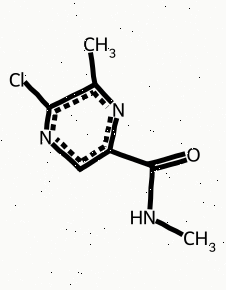 CNC(=O)c1cnc(Cl)c(C)n1